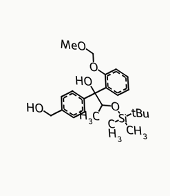 COCOc1ccccc1C(O)(c1ccc(CO)cc1)C(C)O[Si](C)(C)C(C)(C)C